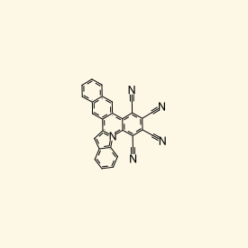 N#Cc1c(C#N)c(C#N)c2c(c1C#N)c1cc3ccccc3cc1c1cc3ccccc3n12